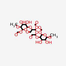 COC1OC(OC=O)C(OC(C=O)OC(OC=O)C(C=O)OC2OC(OC=O)C(OC)C(O)C2O)C(O)C1O